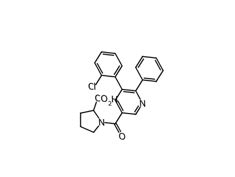 O=C(O)C1CCCN1C(=O)c1cnc(-c2ccccc2)c(-c2ccccc2Cl)c1